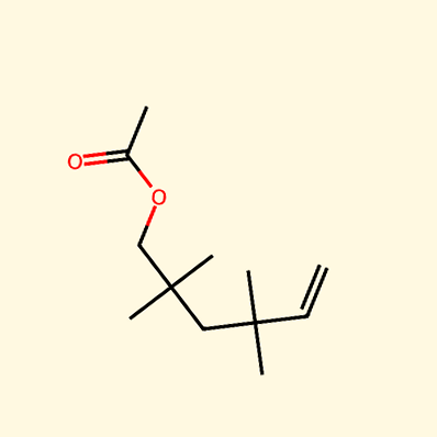 C=CC(C)(C)CC(C)(C)COC(C)=O